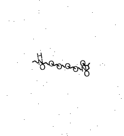 CCCNC(=O)CCOCCOCCOCCOCCN1C(=O)CC(C)C1=O